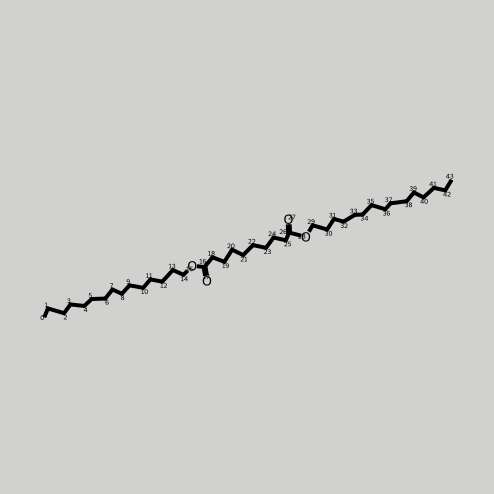 CCCCCCCCCCCCCCCOC(=O)CCCCCCCCC(=O)OCCCCCCCCCCCCCCC